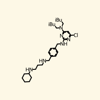 CCC(C)CN(CC(C)CC)c1cc(Cl)nc(NCc2ccc(CNCCCNC3CCCCC3)cc2)n1